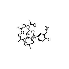 CC(=O)OC1O[C@@H](c2ccc(Cl)c(CBr)c2)[C@H](OC(C)=O)[C@@H](OC(C)=O)[C@@H]1OC(C)=O